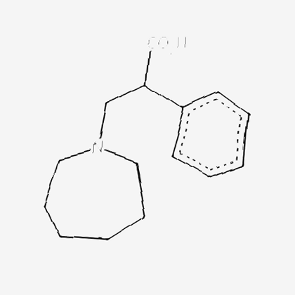 O=C(O)C(CN1CCCCCC1)c1ccccc1